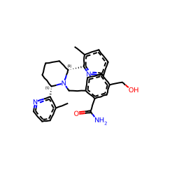 Cc1cccnc1[C@H]1CCC[C@@H](c2ncccc2C)N1Cc1ccc(CO)cc1C(N)=O